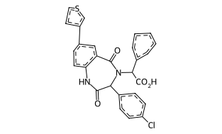 O=C(O)C(c1ccccc1)N1C(=O)c2cc(-c3ccsc3)ccc2NC(=O)C1c1ccc(Cl)cc1